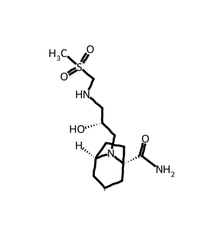 CS(=O)(=O)CNC[C@@H](O)CN1[C@H]2C[CH]C[C@]1(C(N)=O)CC2